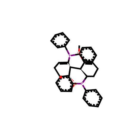 COC1=CCCC(P(c2ccccc2)c2ccccc2)[C@H]1[C@H]1C(P(c2ccccc2)c2ccccc2)=CCC[C@H]1OC